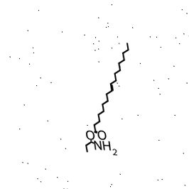 CCCCCCCCC=CCCCCCCCC(=O)OC(N)CC